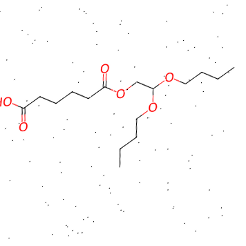 CCCCOC(COC(=O)CCCCC(=O)O)OCCCC